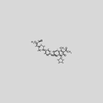 CC(=O)c1c(C)c2cnc(Nc3ccc(N4CCN(C=C(C)C#N)CC4)cn3)nc2n(C2CCCC2)c1=O